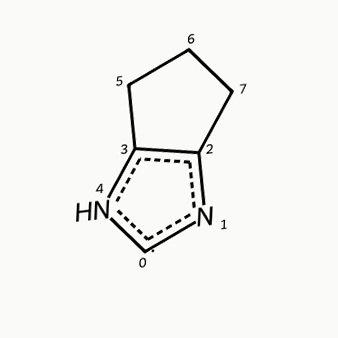 [c]1nc2c([nH]1)CCC2